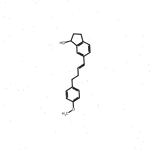 COc1ccc(CCC=Cc2ccc3c(c2)C(O)CC3)cc1